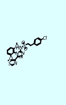 COc1cccc(OC)c1-n1c(NS(=O)(=O)CCc2ccc(Cl)cc2)nnc1-c1cscn1